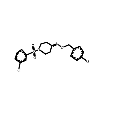 O=S(=O)(c1cccc(Cl)c1)N1CCC(=NOCc2ccc(Cl)cc2)CC1